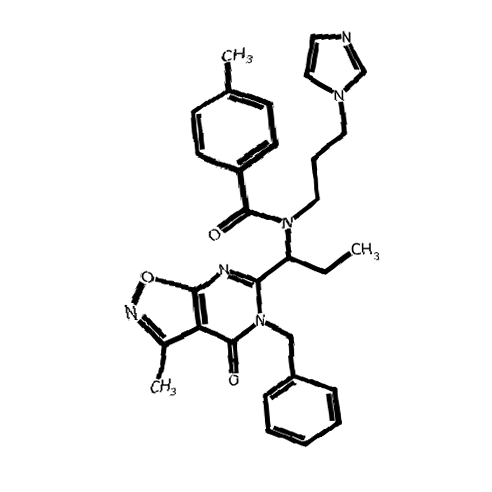 CCC(c1nc2onc(C)c2c(=O)n1Cc1ccccc1)N(CCCn1ccnc1)C(=O)c1ccc(C)cc1